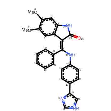 COc1cc2c(cc1OC)/C(=C(/Nc1ccc(-c3c[nH]cn3)cc1)c1ccccc1)C(=O)N2